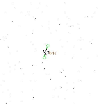 Br.[Cl][Mg][Cl]